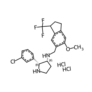 COc1cc2c(cc1CN[C@@H]1CCN[C@@H]1c1cccc(Cl)c1)C(C(F)(F)F)CC2.Cl.Cl